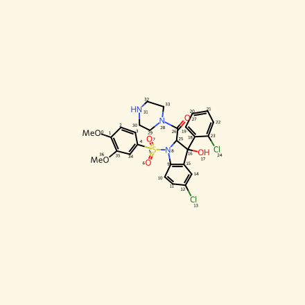 COc1ccc(S(=O)(=O)N2c3ccc(Cl)cc3C(O)(c3ccccc3Cl)C2C(=O)N2CCNCC2)cc1OC